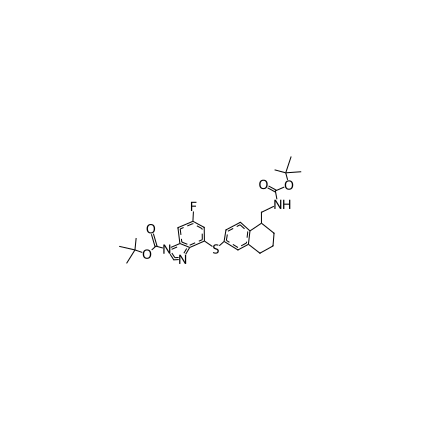 CC(C)(C)OC(=O)NCC1CCCc2cc(Sc3cc(F)cc4c3ncn4C(=O)OC(C)(C)C)ccc21